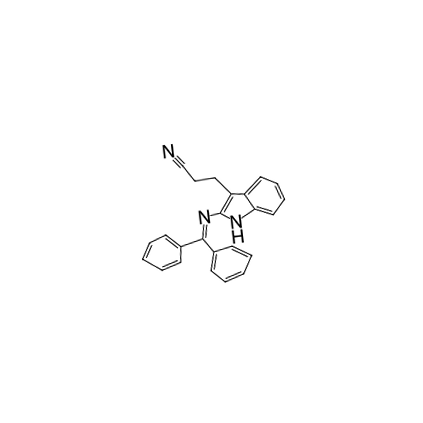 N#CCCc1c(N=C(c2ccccc2)c2ccccc2)[nH]c2ccccc12